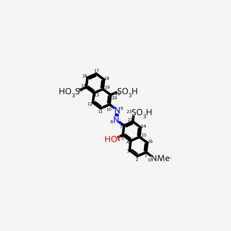 C[N]c1ccc2c(O)c(N=Nc3ccc4c(S(=O)(=O)O)cccc4c3S(=O)(=O)O)c(S(=O)(=O)O)cc2c1